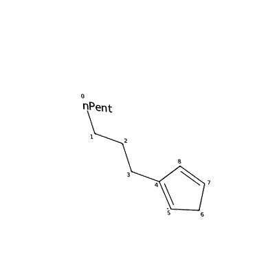 CCCCCCCCC1=[C]CC=C1